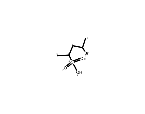 CC(Br)CC(C)S(=O)(=O)O